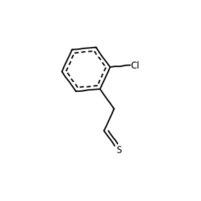 S=CCc1ccccc1Cl